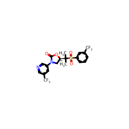 CC(C)([C@H]1CN(c2cncc(C(F)(F)F)c2)C(=O)O1)S(=O)(=O)c1cccc(C(F)(F)F)c1